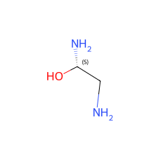 NC[C@@H](N)O